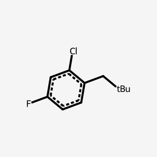 CC(C)(C)Cc1ccc(F)cc1Cl